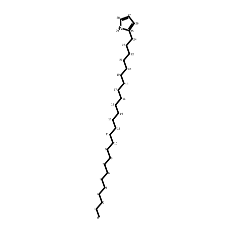 CCCCCCCCCCCCCCCCCCCCCCCCCC1=CC=C[N]1